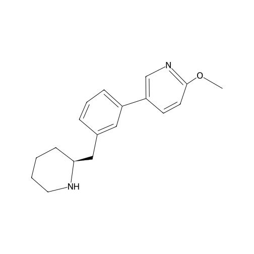 COc1ccc(-c2cccc(C[C@@H]3CCCCN3)c2)cn1